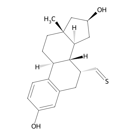 C[C@]12CC[C@@H]3c4ccc(O)cc4C[C@@H](C=S)[C@H]3[C@@H]1C[C@H](O)C2